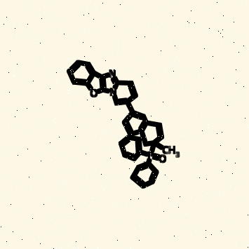 CC1(P(=O)(c2ccccc2)c2ccccc2)C=Cc2cc(-c3ccc4nc5c6ccccc6oc5n4c3)ccc2C1